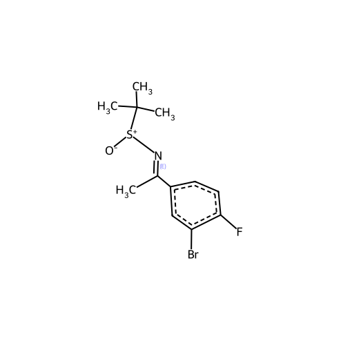 C/C(=N\[S+]([O-])C(C)(C)C)c1ccc(F)c(Br)c1